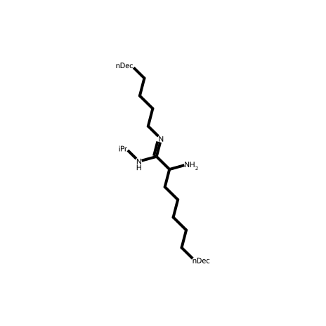 CCCCCCCCCCCCCCCC(N)C(=NCCCCCCCCCCCCCC)NC(C)C